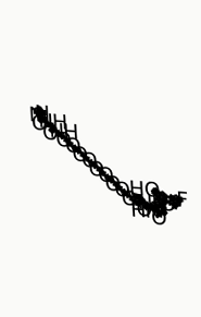 Cc1cc(F)cc(C)c1Oc1ccc(C(C)(C)O)cc1-n1cc(C)c(=O)c2[nH]c(C(=O)Nc3ccc(OCCOCCOCCOCCOCCOCCOCCOCCOCCNC(=O)CCNC(=O)c4nccn4C)cc3)cc21